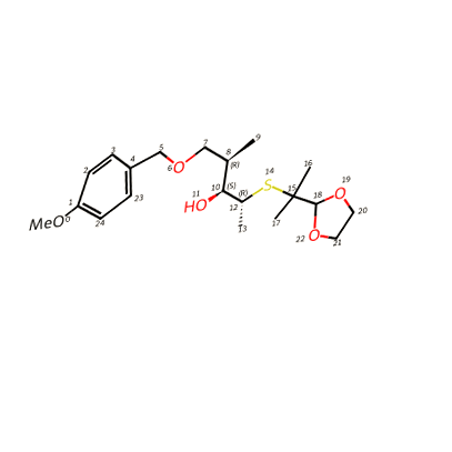 COc1ccc(COC[C@@H](C)[C@H](O)[C@@H](C)SC(C)(C)C2OCCO2)cc1